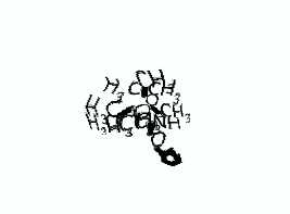 C[C@H](COCc1ccccc1)N[C@@H](C)C(OCC(C)(C)C)OCC(C)(C)C